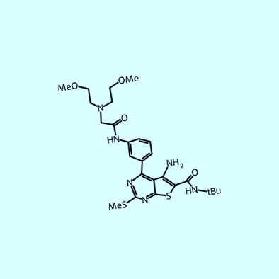 COCCN(CCOC)CC(=O)Nc1cccc(-c2nc(SC)nc3sc(C(=O)NC(C)(C)C)c(N)c23)c1